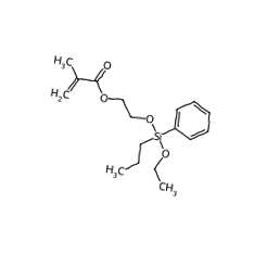 C=C(C)C(=O)OCCO[Si](CCC)(OCC)c1ccccc1